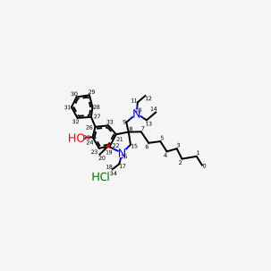 CCCCCCCCC(CN(CC)CC)(CN(CC)CC)c1ccc(O)c(-c2ccccc2)c1.Cl